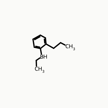 CCBc1ccccc1CCC